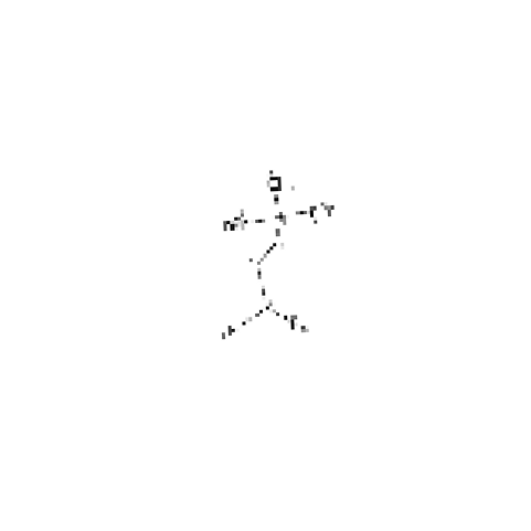 CCCC(C)(CCC)CCC(F)F